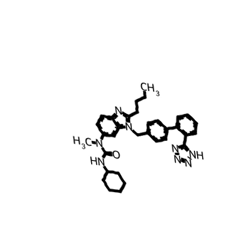 CCCCc1nc2ccc(N(C)C(=O)NC3CCCCC3)cc2n1Cc1ccc(-c2ccccc2-c2nnn[nH]2)cc1